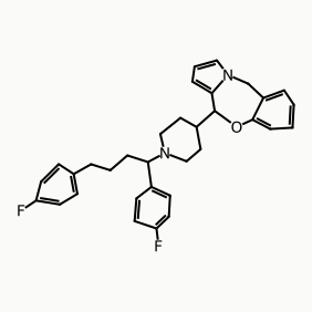 Fc1ccc(CCCC(c2ccc(F)cc2)N2CCC(C3Oc4ccccc4Cn4cccc43)CC2)cc1